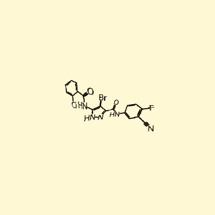 N#Cc1cc(NC(=O)c2n[nH]c(NC(=O)c3ccccc3Cl)c2Br)ccc1F